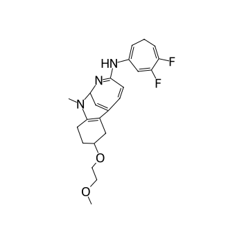 COCCOC1CCC2=C(C1)C1=CC(N=C(NC3=CCC=C(F)C(F)=C3)C=C1)N2C